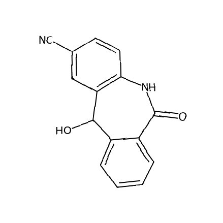 N#Cc1ccc2c(c1)C(O)c1ccccc1C(=O)N2